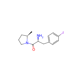 C[C@@H]1CCCN1C(=O)[C@@H](N)Cc1ccc(I)cc1